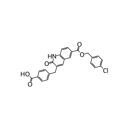 O=C(O)c1ccc(Cc2cc3cc(C(=O)OCc4ccc(Cl)cc4)ccc3[nH]c2=O)cc1